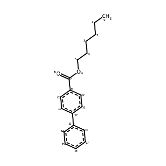 CCCCCCOC(=O)c1ccc(-c2ccccc2)cc1